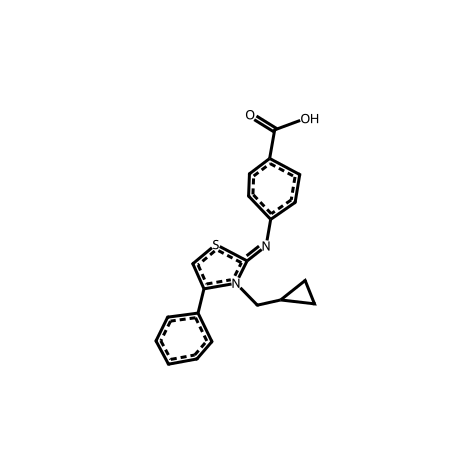 O=C(O)c1ccc(/N=c2\scc(-c3ccccc3)n2CC2CC2)cc1